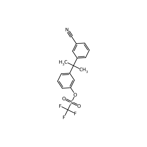 CC(C)(c1cccc(C#N)c1)c1cccc(OS(=O)(=O)C(F)(F)F)c1